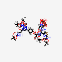 CC(C)(C)OC(=O)NCCCn1cc(-c2ccc(OCC(O/N=C(\C(=O)N[C@@H]3C(=O)N(OS(=O)(=O)O)C3(C)C)c3csc(NC(=O)OC(C)(C)C)n3)C(=O)OC(C)(C)C)cc2)nc1N(C(=O)OC(C)(C)C)C(=O)OC(C)(C)C